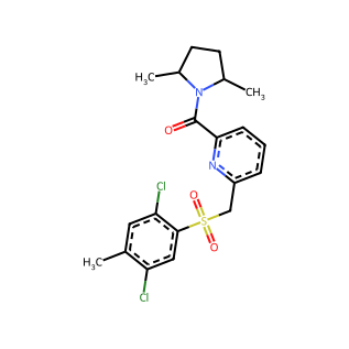 Cc1cc(Cl)c(S(=O)(=O)Cc2cccc(C(=O)N3C(C)CCC3C)n2)cc1Cl